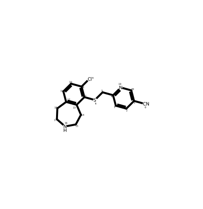 N#Cc1ccc(CSc2c(Cl)ccc3c2CCNCC3)nc1